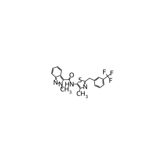 Cc1nc(Cc2cccc(C(F)(F)F)c2)sc1NC(=O)c1c2ccccc2nn1C